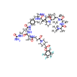 CC[C@H](C)C([C@@H](CC(=O)N1CCC[C@H]1[C@H](OC)[C@@H](C)C(=O)N[C@H](CN)Cc1ccc(NC(=O)[C@H](CCCNC(N)=O)NC(=O)C(NC(=O)CCC(=O)N2CCC(C(=O)Oc3c(F)c(F)c(F)c(F)c3F)CC2)C(C)C)cc1)OC)N(C)C(=O)[C@@H](NC(=O)C(C(C)C)N(C)C)C(C)C